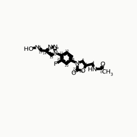 CC(=O)NCC1CN(c2ccc(-n3cc(C=NO)nn3)c(F)c2)C(=O)O1